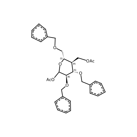 CC(=O)OC[C@H]1[C@H](OCc2ccccc2)[C@@H](OCc2ccccc2)C(OC(C)=O)O[C@@H]1COCc1ccccc1